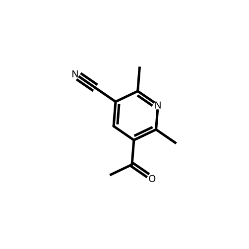 CC(=O)c1cc(C#N)c(C)nc1C